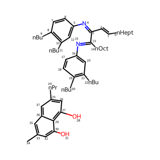 CCCCCCCC=CC(=Nc1ccc(CCCC)c(CCCC)c1)C(CCCCCCCC)=Nc1ccc(CCCC)c(CCCC)c1.CCCc1cc(O)c2c(O)cc(C)cc2c1